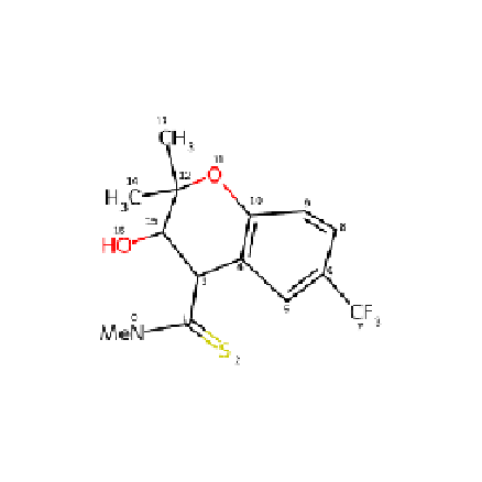 CNC(=S)C1c2cc(C(F)(F)F)ccc2OC(C)(C)C1O